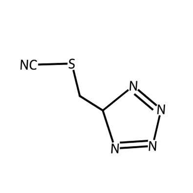 N#CSCC1N=NN=N1